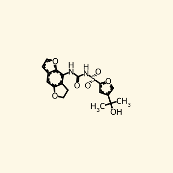 CC(C)(O)c1coc(S(=O)(=O)NC(=O)Nc2c3c(cc4ccoc24)OCC3)c1